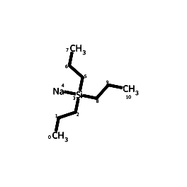 CCC[Si]([Na])(CCC)CCC